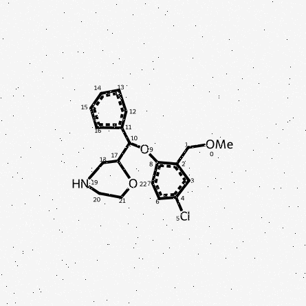 COCc1cc(Cl)ccc1OC(c1ccccc1)C1CNCCO1